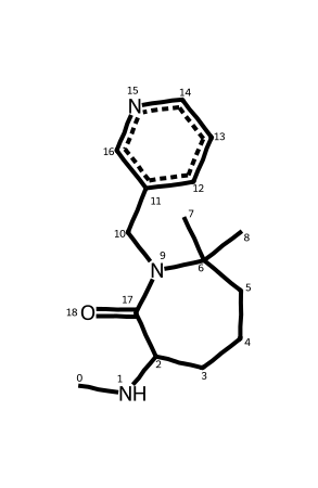 CNC1CCCC(C)(C)N(Cc2cccnc2)C1=O